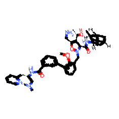 COc1c(CN2O[C@@H](CN)[C@@H]([C@H](C)O)[C@H]2C(=O)N[C@H]2C[C@H]3C[C@@H]([C@@H]2C)C3(C)C)cccc1-c1cccc(C(=O)N[C@@H](Cc2ccccn2)CN(C)C)c1